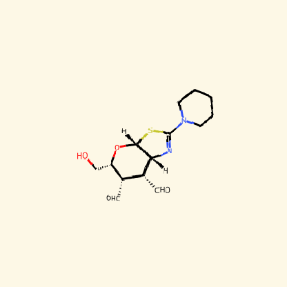 O=C[C@@H]1[C@H](C=O)[C@H](CO)O[C@@H]2SC(N3CCCCC3)=N[C@H]12